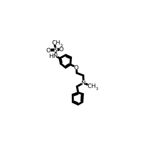 CN(CCOc1ccc(NS(C)(=O)=O)cc1)Cc1ccccc1